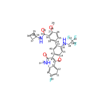 CNC(=O)c1c(-c2ccc(F)cc2)oc2cc(NCC(F)(F)F)c(-c3ccc(OC)c(C(=O)NC45CC(C4)C5)c3)cc12